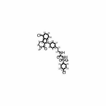 CN1CCc2c(n(-c3ccc(CCNC(=O)NS(=O)(=O)c4ccc(Cl)cc4)cc3)c3cccc(Cl)c23)C1=O